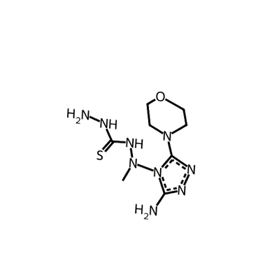 CN(NC(=S)NN)n1c(N)nnc1N1CCOCC1